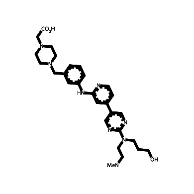 CNCCN(CCCO)c1ncc(-c2ccnc(Nc3cccc(CN4CCN(CC(=O)O)CC4)c3)c2)cn1